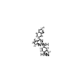 Cc1cc2ccc(-c3nc(Nc4ccc5[nH]ncc5c4)nc4ccsc34)cc2s1